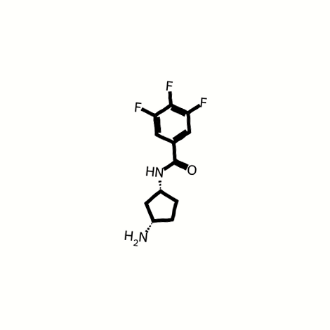 N[C@H]1CC[C@@H](NC(=O)c2cc(F)c(F)c(F)c2)C1